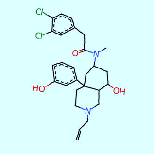 C=CCN1CCC2(c3cccc(O)c3)CC(N(C)C(=O)Cc3ccc(Cl)c(Cl)c3)CC(O)C2C1